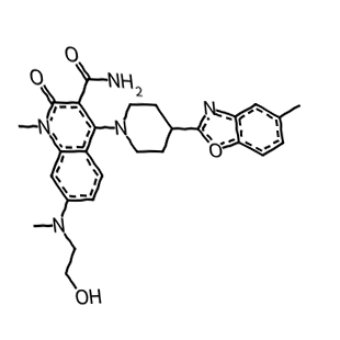 Cc1ccc2oc(C3CCN(c4c(C(N)=O)c(=O)n(C)c5cc(N(C)CCO)ccc45)CC3)nc2c1